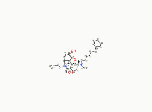 C=CCN1CC[C@]23c4c5ccc(O)c4O[C@H]2[C@H](N(CCCCCCc2ccccc2)C(C)C)CC[C@@]3(O)[C@H]1C5